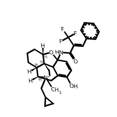 C[N+]1(CC2CC2)CC[C@]23C4C5=C(O)C=CC4(NC(=O)C(=Cc4ccccc4)C(F)(F)F)O[C@H]2CCC[C@H]3[C@H]1C5